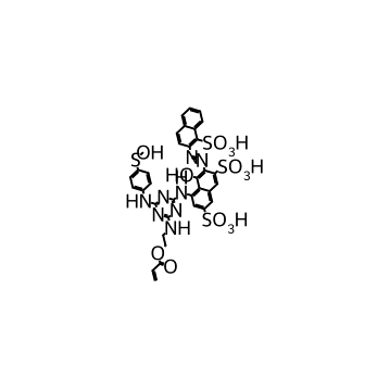 C=CC(=O)OCCNc1nc(Nc2ccc(SO)cc2)nc(Nc2cc(S(=O)(=O)O)cc3cc(S(=O)(=O)O)c(/N=N/c4ccc5ccccc5c4S(=O)(=O)O)c(O)c23)n1